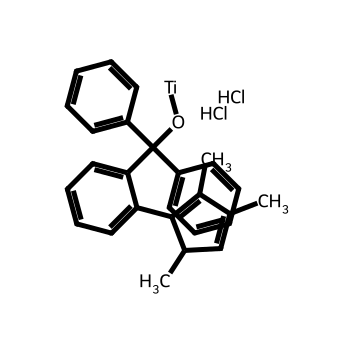 CC1=CC(C)C(c2ccccc2C([O][Ti])(c2ccccc2)c2ccccc2)=C1C.Cl.Cl